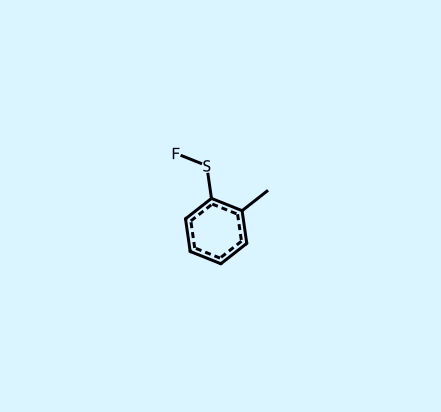 Cc1ccccc1SF